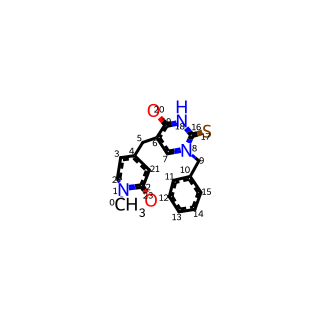 Cn1ccc(Cc2cn(Cc3ccccc3)c(=S)[nH]c2=O)cc1=O